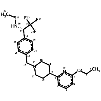 CCOc1cccc(C2CCN(Cc3ccc([C@H](NSC)C(F)(F)F)cc3)CC2)n1